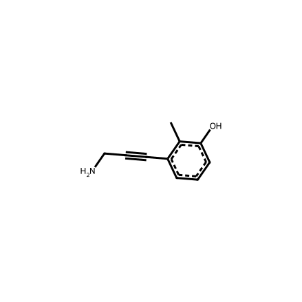 Cc1c(O)cccc1C#CCN